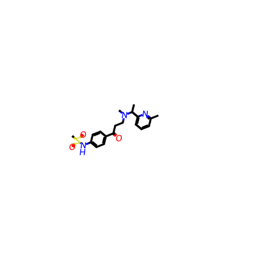 Cc1cccc(C(C)N(C)CCC(=O)c2ccc(NS(C)(=O)=O)cc2)n1